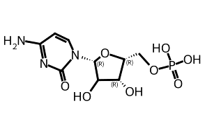 Nc1ccn([C@@H]2O[C@H](COP(=O)(O)O)[C@H](O)C2O)c(=O)n1